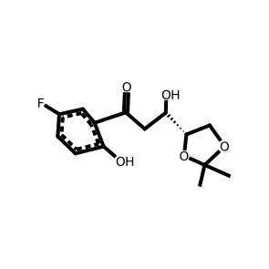 CC1(C)OC[C@@H](C(O)CC(=O)c2cc(F)ccc2O)O1